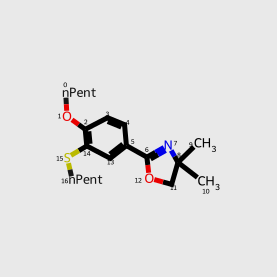 CCCCCOc1ccc(C2=NC(C)(C)CO2)cc1SCCCCC